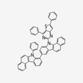 c1ccc(-c2cc3nc(-n4c5ccc(-c6cccc7c8c9ccccc9ccc8n(-c8ccccc8)c67)cc5c5ccc6ccccc6c54)nc(-c4ccccc4)c3s2)cc1